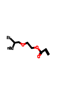 C=CC(=O)OCCOCC(CC)CCCC